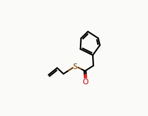 C=CCSC(=O)Cc1ccccc1